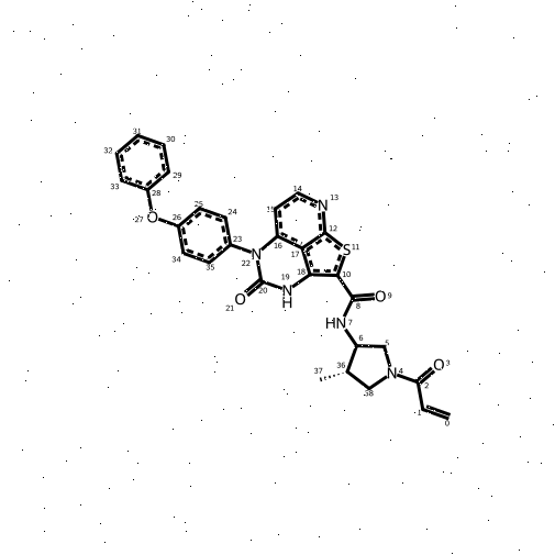 C=CC(=O)N1CC(NC(=O)c2sc3nccc4c3c2NC(=O)N4c2ccc(Oc3ccccc3)cc2)[C@@H](C)C1